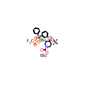 CC(C)(C)OC(=O)N1CCC(O[Si](C)(C)C)(C(F)(F)F)CC1.CC(C)(C)[Si](OS(=O)(=O)C(F)(F)F)(c1ccccc1)c1ccccc1